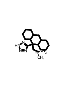 C[C@@H](N)CC1(c2nn[nH]n2)C2CCCCC2CC2CCCCC21